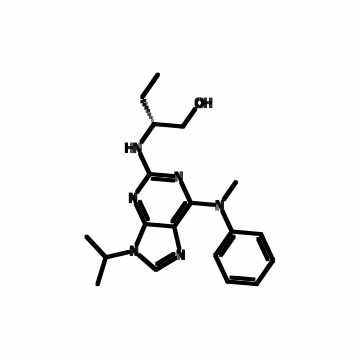 CC[C@H](CO)Nc1nc(N(C)c2ccccc2)c2ncn(C(C)C)c2n1